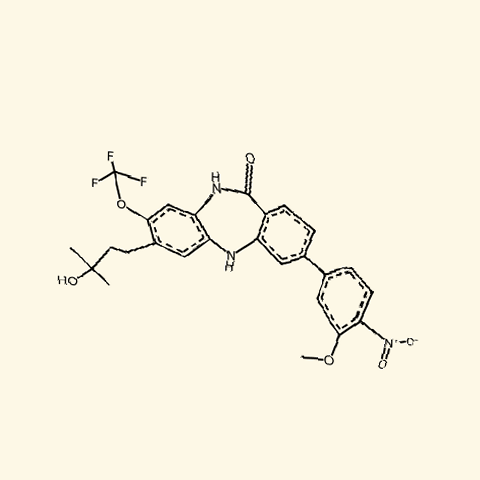 COc1cc(-c2ccc3c(c2)Nc2cc(CCC(C)(C)O)c(OC(F)(F)F)cc2NC3=O)ccc1[N+](=O)[O-]